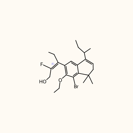 CCOc1c(/C(CC)=C(/F)CO)cc2c(c1Br)C(C)(C)CC=C2C(C)CC